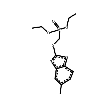 CCOP(=O)(CSc1nc2cc(C)ccc2s1)OCC